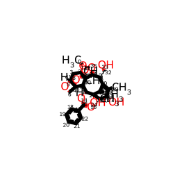 CO[C@H]1C[C@H]2OC[C@@]2(OC(C)=O)[C@H]2[C@H](OC(=O)c3ccccc3)[C@]3(O)C[C@H](O)C(C)=C([C@@H](CO)C(=O)[C@]12C)C3(C)C